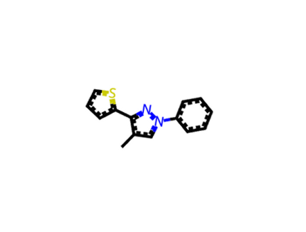 Cc1cn(-c2ccccc2)nc1-c1cccs1